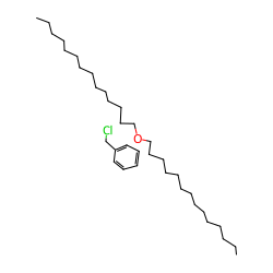 CCCCCCCCCCCCCCOCCCCCCCCCCCCCC.ClCc1ccccc1